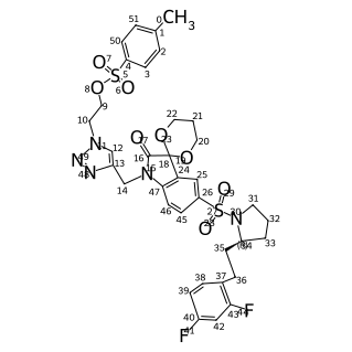 Cc1ccc(S(=O)(=O)OCCn2cc(CN3C(=O)C4(OCCCO4)c4cc(S(=O)(=O)N5CCC[C@H]5CCc5ccc(F)cc5F)ccc43)nn2)cc1